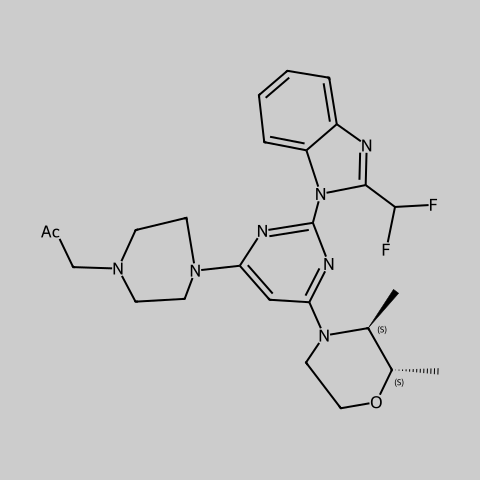 CC(=O)CN1CCN(c2cc(N3CCO[C@@H](C)[C@@H]3C)nc(-n3c(C(F)F)nc4ccccc43)n2)CC1